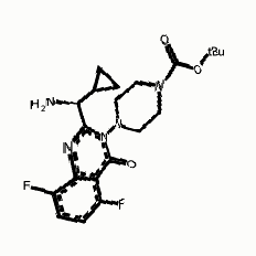 CC(C)(C)OC(=O)N1CCN(n2c([C@@H](N)C3CC3)nc3c(F)ccc(F)c3c2=O)CC1